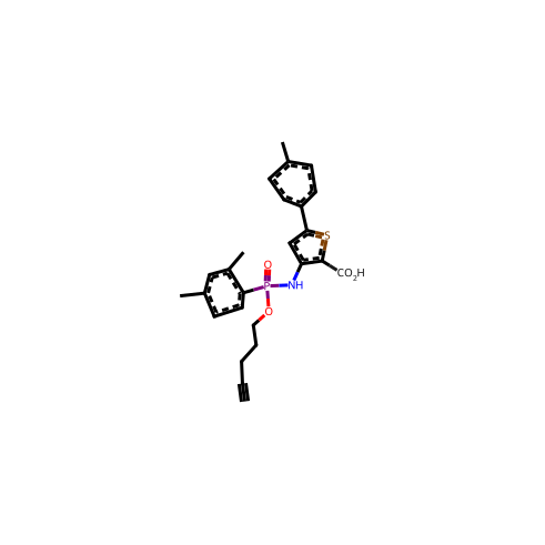 C#CCCCOP(=O)(Nc1cc(-c2ccc(C)cc2)sc1C(=O)O)c1ccc(C)cc1C